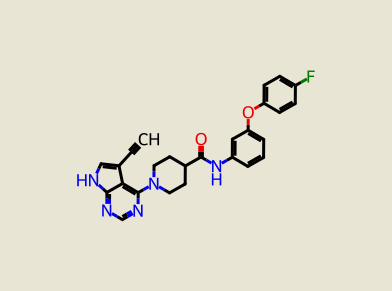 C#Cc1c[nH]c2ncnc(N3CCC(C(=O)Nc4cccc(Oc5ccc(F)cc5)c4)CC3)c12